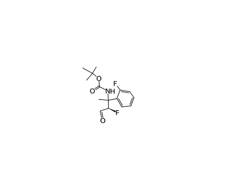 CC(C)(C)OC(=O)NC(C)(c1ccccc1F)[C@@H](F)C=O